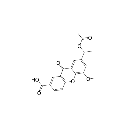 COc1cc(C(C)OC(C)=O)cc2c(=O)c3cc(C(=O)O)ccc3oc12